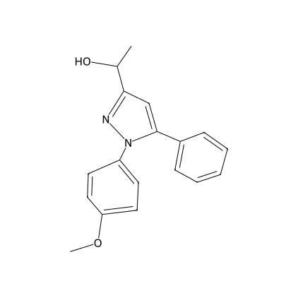 COc1ccc(-n2nc(C(C)O)cc2-c2ccccc2)cc1